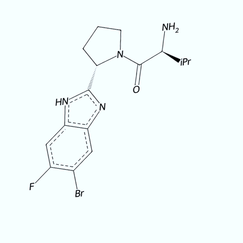 CC(C)[C@H](N)C(=O)N1CCC[C@H]1c1nc2cc(Br)c(F)cc2[nH]1